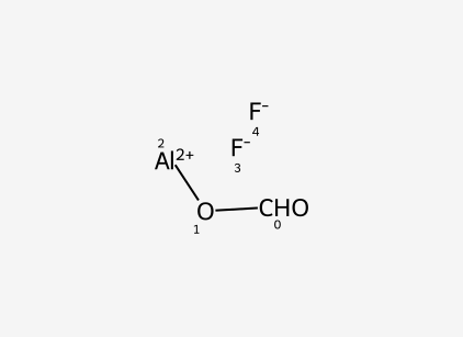 O=C[O][Al+2].[F-].[F-]